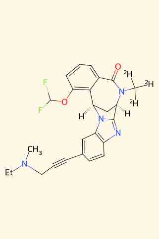 [2H]C([2H])([2H])N1C(=O)c2cccc(OC(F)F)c2[C@H]2C[C@@H]1c1nc3ccc(C#CCN(C)CC)cc3n12